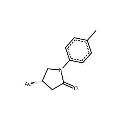 CC(=O)[C@H]1CC(=O)N(c2ccc(C)cc2)C1